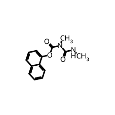 CNC(=O)N(C)C(=O)Oc1cccc2ccccc12